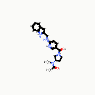 CC(=O)N(C)[C@H]1CCN(C(=O)c2ccc(NCc3cc4ccccc4[nH]3)nc2)C1